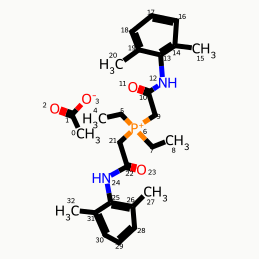 CC(=O)[O-].CC[P+](CC)(CC(=O)Nc1c(C)cccc1C)CC(=O)Nc1c(C)cccc1C